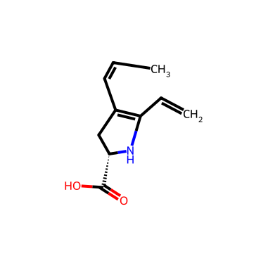 C=CC1=C(/C=C\C)C[C@@H](C(=O)O)N1